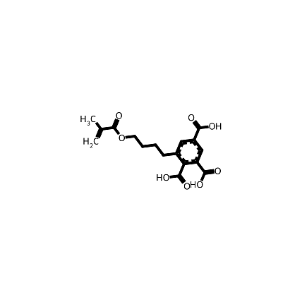 C=C(C)C(=O)OCCCCc1cc(C(=O)O)cc(C(=O)O)c1C(=O)O